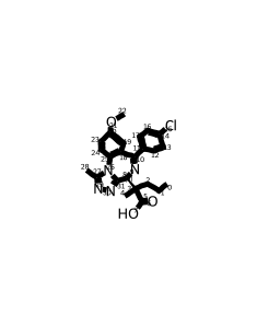 CCCC(C)(C(=O)O)[C@@H]1N=C(c2ccc(Cl)cc2)c2cc(OC)ccc2-n2c(C)nnc21